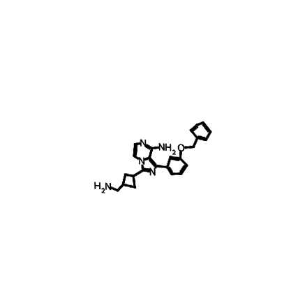 NCC1CC(c2nc(-c3cccc(OCc4ccccc4)c3)c3c(N)nccn23)C1